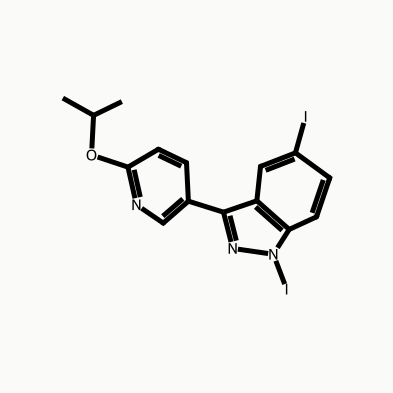 CC(C)Oc1ccc(-c2nn(I)c3ccc(I)cc23)cn1